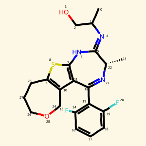 CC(CO)N=C1Nc2sc3c(c2C(c2c(F)cccc2F)=N[C@H]1C)COCCC3